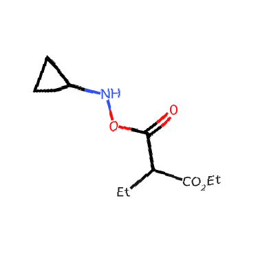 CCOC(=O)C(CC)C(=O)ONC1CC1